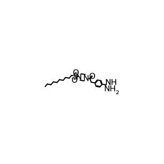 CCCCCCCCCCS(=O)(=O)N1CCN(C(=O)Cc2ccc(C(=N)N)cc2)CC1